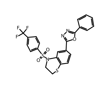 O=S(=O)(c1ccc(C(F)(F)F)cc1)N1CCSc2ccc(-c3nnc(-c4ccccc4)o3)cc21